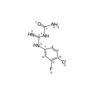 N=C(NC(N)=O)Nc1ccc(Cl)c(F)c1